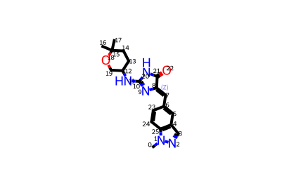 Cn1ncc2cc(/C=C3\N=C(NC4CCC(C)(C)OC4)NC3=O)ccc21